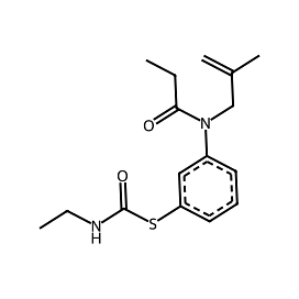 C=C(C)CN(C(=O)CC)c1cccc(SC(=O)NCC)c1